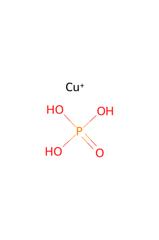 O=P(O)(O)O.[Cu+]